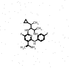 C=C(N)c1cc(F)c(NC(C(C)N)[C@H](C)C2CC2)nc1Nc1ccc(F)cc1